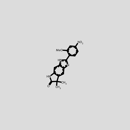 COc1cc([N+](=O)[O-])ccc1-c1nc2cc3c(cc2[nH]1)NC(=O)C3(C)C